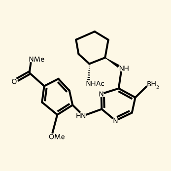 Bc1cnc(Nc2ccc(C(=O)NC)cc2OC)nc1N[C@@H]1CCCC[C@H]1NC(C)=O